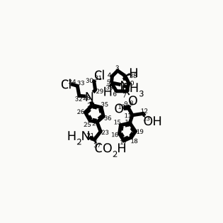 CN1[C@@H]2CC[C@H]1C[C@@H](OC(=O)C(CO)c1ccccc1)C2.N[C@@H](Cc1ccc(N(CCCl)CCCl)cc1)C(=O)O